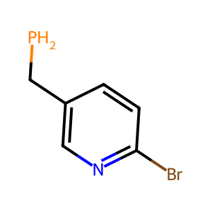 PCc1ccc(Br)nc1